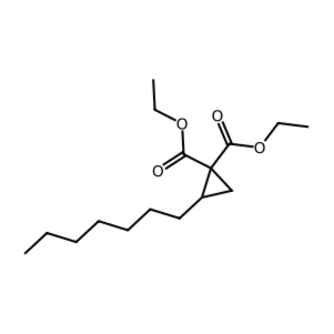 CCCCCCCC1CC1(C(=O)OCC)C(=O)OCC